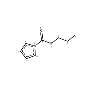 CCCSC(=S)n1cccc1